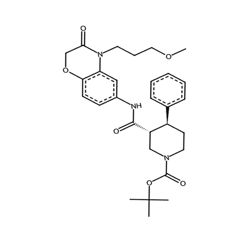 COCCCN1C(=O)COc2ccc(NC(=O)[C@H]3CN(C(=O)OC(C)(C)C)CC[C@@H]3c3ccccc3)cc21